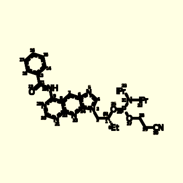 CC[C@H](Cn1cnc2cc3c(NC(=O)c4ccccc4)ncnc3nc21)OP(OCCC#N)N(C(C)C)C(C)C